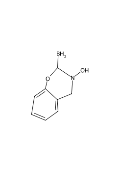 BC1Oc2ccccc2CN1O